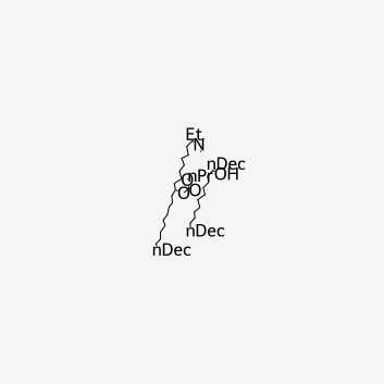 CCCCCCCCCCCCCCCCCCCC(CCCCCCCC(CC)N(C)C)OC(=O)OCCC.CCCCCCCCCCCCCCCCCCCC(O)CCCCCCCCCC